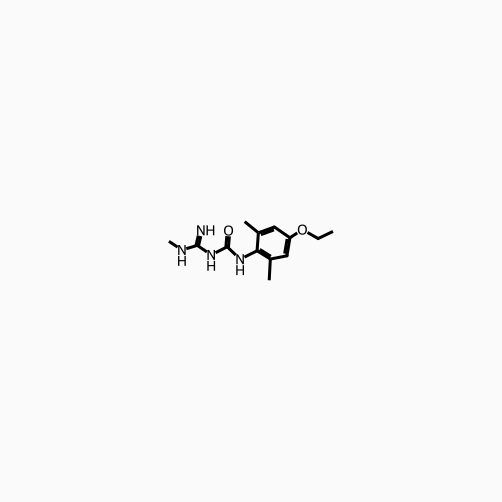 CCOc1cc(C)c(NC(=O)NC(=N)NC)c(C)c1